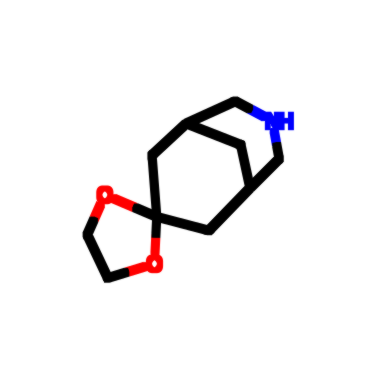 C1COC2(CC3CNCC(C3)C2)O1